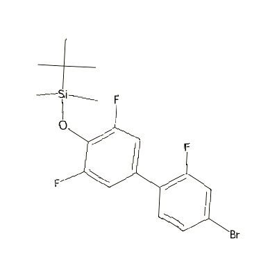 CC(C)(C)[Si](C)(C)Oc1c(F)cc(-c2ccc(Br)cc2F)cc1F